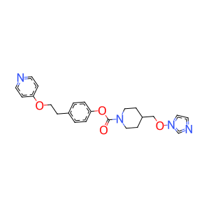 O=C(Oc1ccc(CCOc2ccncc2)cc1)N1CCC(COn2ccnc2)CC1